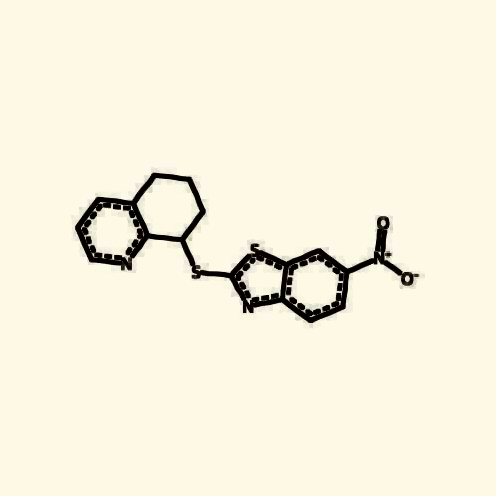 O=[N+]([O-])c1ccc2nc(SC3CCCc4cccnc43)sc2c1